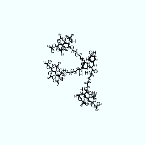 CC(=O)N/C(=C(\OC(C)=O)C(CCOC(C)=O)OC(C)=O)C(O)OCCOCCNC(=O)CN(CC(=O)NCCOCCOC(O)/C(NC(C)=O)=C(/OC(C)=O)C(CCOC(C)=O)OC(C)=O)C(Cc1ccc(O)cc1)C(=O)NCCOCCOC(O)/C(NC(C)=O)=C(/OC(C)=O)C(CCOC(C)=O)OC(C)=O